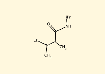 CCN(C)C(C)C(=O)NC(C)C